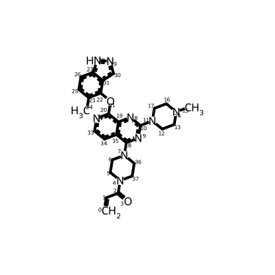 C=CC(=O)N1CCN(c2nc(N3CCN(C)CC3)nc3c(Oc4c(C)ccc5[nH]ncc45)nccc23)CC1